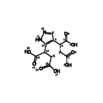 O=C(O)CC(C(=O)O)c1cn[nH]c1C(CC(=O)O)C(=O)O